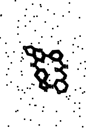 O=C(CN1CCOCC1)Nc1cccc(-c2nc3c(c(Nc4ccc5[nH]ncc5c4)n2)COC3)c1